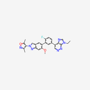 CCn1cnc2c(-c3ccc(F)c(-c4cc5cn(-c6c(C)noc6C)nc5cc4OC)c3)cnnc21